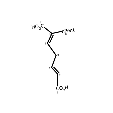 CCCCC/C(=C\C/C=C/C(=O)O)C(=O)O